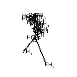 CCCCCCCCCCCCC/C=C/[C@@H](O)[C@H](CO[C@@H]1OC(CO)[C@@H](O[C@@H]2OC(CO)[C@H](O)[C@H](O[C@@H]3OC(CO)[C@@H](O)[C@H](O[C@@H]4OC(CO)[C@H](O)[C@H](O[C@@H]5OC(CO)[C@@H](O[C@@H]6OC(CO)[C@H](O)[C@H](O)C6O)[C@H](O)C5NC(C)=O)C4O)C3NC(C)=O)C2O)[C@H](O)C1O)NC(=O)CCCCCCCCCCCCCCCCCCCCCCCCC